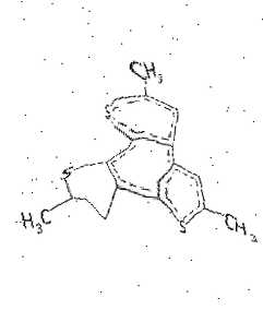 Cc1cc2c(s1)c1c(c3sc(C)cc32)SC(C)C1